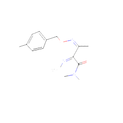 CON=C(C(=O)N(C)C)C(C)=NOCc1ccc(C)cc1